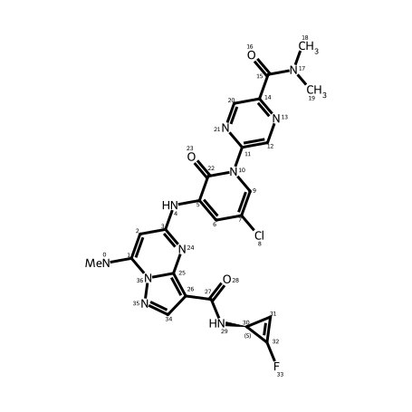 CNc1cc(Nc2cc(Cl)cn(-c3cnc(C(=O)N(C)C)cn3)c2=O)nc2c(C(=O)N[C@H]3C=C3F)cnn12